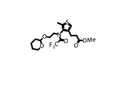 COC(=O)CCc1csc(C)c1N(CCOC1CCCCO1)C(=O)C(F)(F)F